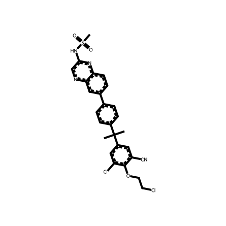 CC(C)(c1ccc(-c2ccc3nc(NS(C)(=O)=O)cnc3c2)cc1)c1cc(Cl)c(OCCCl)c(C#N)c1